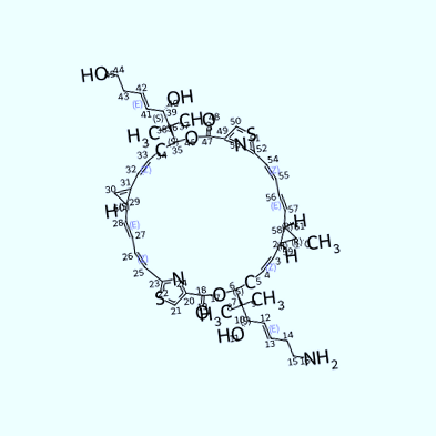 C[C@@H]1[C@@H]2/C=C\C[C@@H](C(C)(C)[C@@H](O)/C=C/CCN)OC(=O)c3csc(n3)/C=C\C=C\[C@H]3C=C3/C=C\C[C@@H](C(C)(C)[C@@H](O)/C=C/CCO)OC(=O)c3csc(n3)/C=C\C=C\[C@H]12